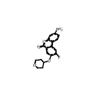 Nc1ccc2c(c1)oc(=O)c1cc(OC3CCOCC3)c(F)cc12